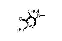 CN(C)c1cnn(C(C)(C)C)c(=O)c1C=O